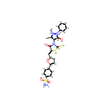 Cc1c(N2C(=O)/C(=C/C3CC=C(c4ccc(S(N)(=O)=O)cc4)O3)SC2=S)c(=O)n(-c2ccccc2)n1C